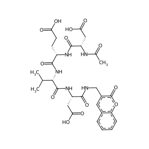 CC(=O)N[C@@H](CC(=O)O)C(=O)N[C@@H](CCC(=O)O)C(=O)N[C@H](C(=O)N[C@@H](CC(=O)O)C(=O)NCc1cc2ccccc2oc1=O)C(C)C